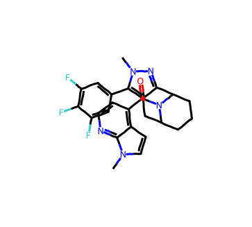 Cn1nc2c(c1-c1cc(F)c(F)c(F)c1)CC1CCCC2N1C(=O)c1ccnc2c1ccn2C